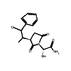 CC(C(Cl)c1ccccc1)[C@H]1CC(=O)N([C@H](C(N)=O)C(C)(C)C)C1=O